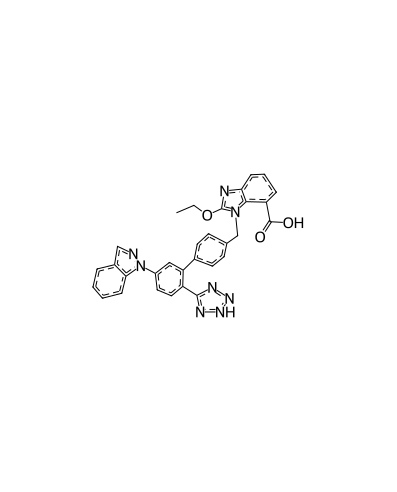 CCOc1nc2cccc(C(=O)O)c2n1Cc1ccc(-c2cc(-n3ncc4ccccc43)ccc2-c2nn[nH]n2)cc1